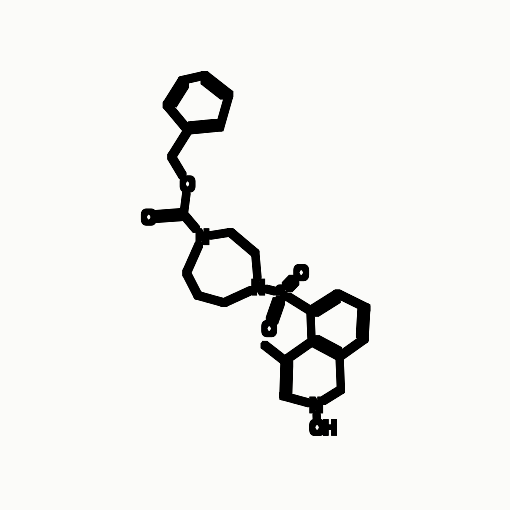 CC1=CN(O)Cc2cccc(S(=O)(=O)N3CCCN(C(=O)OCc4ccccc4)CC3)c21